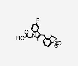 Cc1c(Cc2cccc3c2CCS3(=O)=O)c2cc(F)ccc2n1CC(=O)O